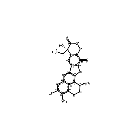 CC[C@@]1(O)C(=O)OCc2c1cc1n(c2=O)Cc2c-1cc1cc(F)c(C)c3c1c2[C@@H](C)CC3